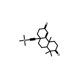 CC1(C)C(=O)CCC2(C)C3=CC(=O)CCC3(C#C[Si](C)(C)C)CCC12